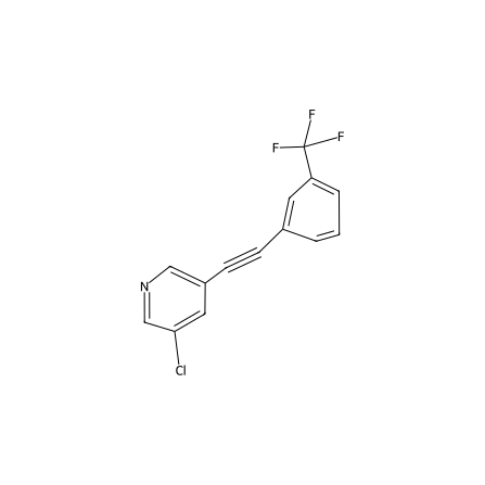 FC(F)(F)c1cccc(C#Cc2cncc(Cl)c2)c1